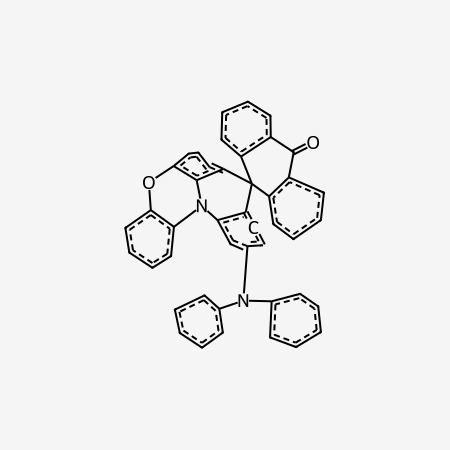 O=C1c2ccccc2C2(c3ccccc31)c1ccc(N(c3ccccc3)c3ccccc3)cc1N1c3ccccc3Oc3cccc2c31